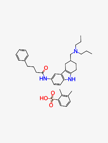 CCCN(CCC)CC1CCc2[nH]c3ccc(NC(=O)CCCc4ccccc4)cc3c2C1.Cc1cccc(S(=O)(=O)O)c1C